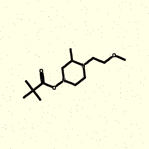 COCCN1CCN(OC(=O)C(C)(C)C)CC1C